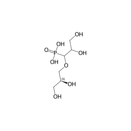 O=P(O)(O)C(OC[C@@H](O)CO)C(O)CO